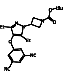 [C-]#[N+]c1cc(C#N)cc(Oc2c(CC)nn(C3CN(C(=O)OC(C)(C)C)C3)c2CC)c1